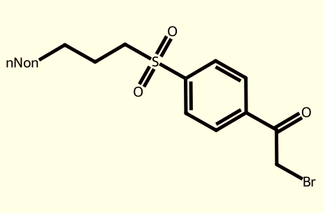 CCCCCCCCCCCCS(=O)(=O)c1ccc(C(=O)CBr)cc1